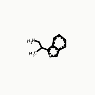 CC(CN)c1scc2ccccc12